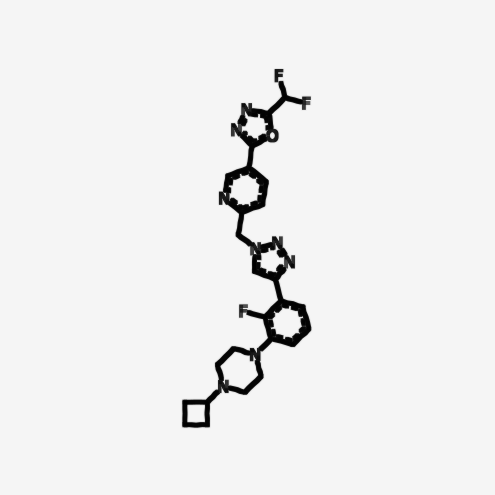 Fc1c(-c2cn(Cc3ccc(-c4nnc(C(F)F)o4)cn3)nn2)cccc1N1CCN(C2CCC2)CC1